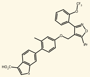 Cc1cc(OCc2c(-c3ccccc3OC(F)(F)F)noc2C(C)C)ccc1-c1ccc2c(C(=O)O)csc2c1